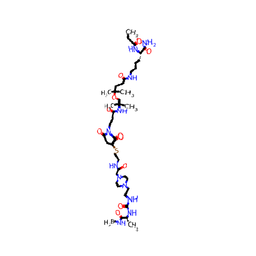 BNC(=O)[C@H](C)NC(=O)NCCN1CCN(CC(=O)NCCSC2CC(=O)N(CCC(=O)NC(C)(C)COC(C)(C)CCC(=O)NCCCC[C@H](NC(=O)CC)C(N)=O)C2=O)CC1